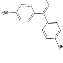 CC(C)(C)c1ccc(C(=CC=O)c2ccc(C(C)(C)C)cc2)cc1